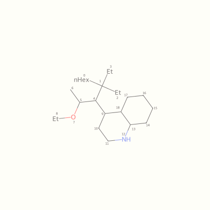 CCCCCCC(CC)(CC)C(C(C)OCC)C1CCNC2CCCCC21